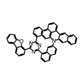 c1ccc(-c2nc(-c3cccc4ccc(N5c6cc7ccccc7cc6-c6cccc7cccc5c67)cc34)nc(-c3cccc4c3oc3ccccc34)n2)cc1